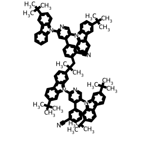 CC(C)(C)c1ccc2c(c1)c1ccccc1n2-c1cc(-c2ccc(CC(C)(C)c3ccc4c5ccc(C(C)(C)C)cc5n(-c5cc(-c6cccc(C#N)c6)c(-n6c7cc(C(C)(C)C)ccc7c7ccc(C(C)(C)C)cc76)cn5)c4c3)c(C#N)c2)c(-n2c3ccccc3c3cc(C(C)(C)C)ccc32)cn1